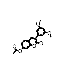 COc1cc(OC)cc(-c2cc3ccc(OC(C)=O)cc3oc2=O)c1